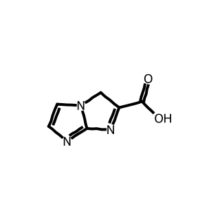 O=C(O)C1=Nc2nccn2C1